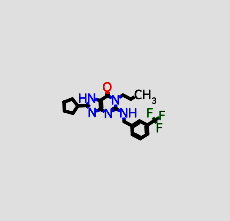 CCCn1c(NCc2cccc(C(F)(F)F)c2)nc2nc(C3CCCC3)[nH]c2c1=O